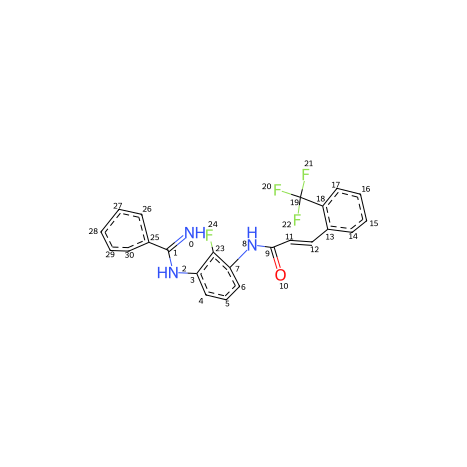 N=C(Nc1cccc(NC(=O)/C=C/c2ccccc2C(F)(F)F)c1F)c1ccccc1